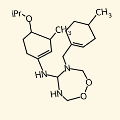 CC1CC=C(CN2COOCNC2NC2=CC(C)C(OC(C)C)CC2)CC1